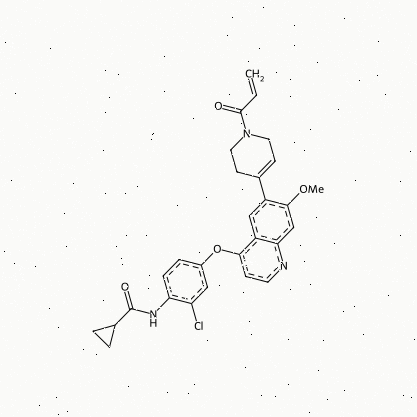 C=CC(=O)N1CC=C(c2cc3c(Oc4ccc(NC(=O)C5CC5)c(Cl)c4)ccnc3cc2OC)CC1